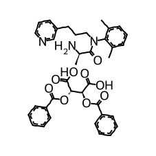 Cc1cccc(C)c1N(CCCc1cccnc1)C(=O)[C@@H](C)N.O=C(O[C@H](C(=O)O)[C@H](OC(=O)c1ccccc1)C(=O)O)c1ccccc1